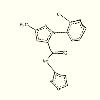 O=C(Nc1ccon1)c1cc(C(F)(F)F)nn1-c1ccccc1Cl